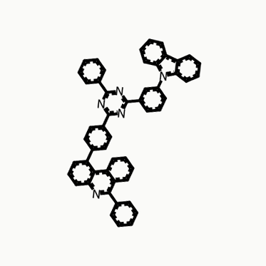 c1ccc(-c2nc(-c3ccc(-c4cccc5nc(-c6ccccc6)c6ccccc6c45)cc3)nc(-c3cccc(-n4c5ccccc5c5ccccc54)c3)n2)cc1